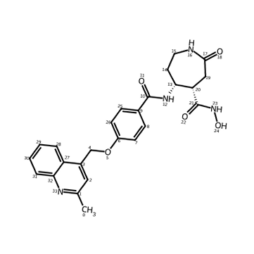 Cc1cc(COc2ccc(C(=O)N[C@@H]3CCNC(=O)C[C@@H]3C(=O)NO)cc2)c2ccccc2n1